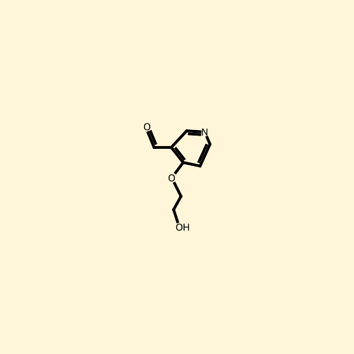 O=Cc1cnccc1OCCO